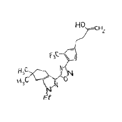 C=C(O)CCc1ccc(-c2noc(-c3nn(CC)c4c3CCC(C)(C)C4)n2)c(C(F)(F)F)c1